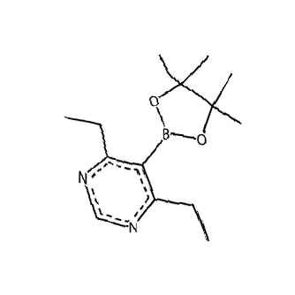 CCc1ncnc(CC)c1B1OC(C)(C)C(C)(C)O1